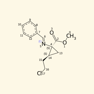 COC(=O)[C@]1(/N=C/c2ccccc2)C[C@H]1CCCl